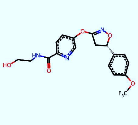 O=C(NCCO)c1ccc(OC2=NO[C@H](c3ccc(OC(F)(F)F)cc3)C2)cn1